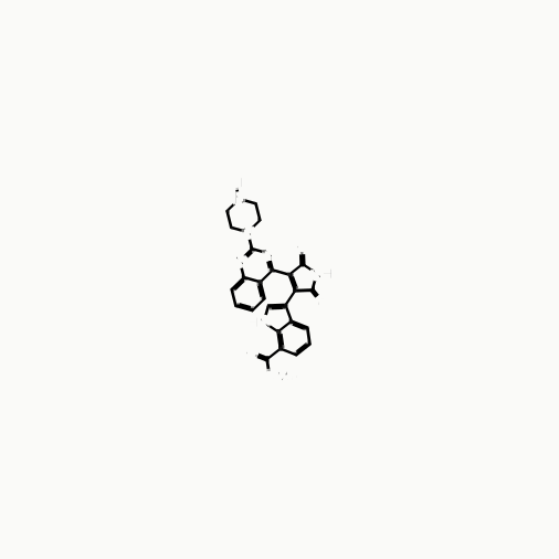 COC(=O)c1cccc2c(C3=C(c4nc(N5CCN(C)CC5)nc5ccccc45)C(=O)NC3=O)c[nH]c12